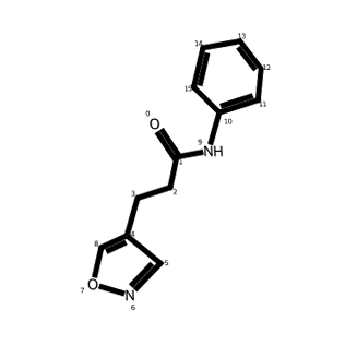 O=C(CCc1cnoc1)Nc1ccccc1